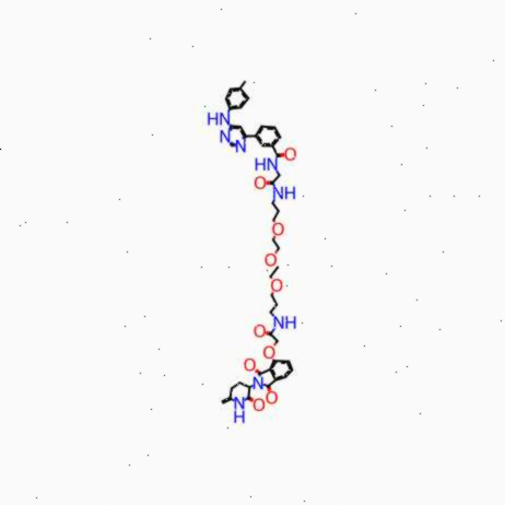 C=C1CCC(N2C(=O)c3cccc(OCC(=O)NCCCOCCOCCOCCCNC(=O)CNC(=O)c4cccc(-c5cc(Nc6ccc(C)cc6)ncn5)c4)c3C2=O)C(=O)N1